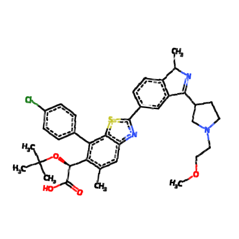 COCCN1CCC(C2=NC(C)c3ccc(-c4nc5cc(C)c([C@H](OC(C)(C)C)C(=O)O)c(-c6ccc(Cl)cc6)c5s4)cc32)C1